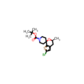 C[C@H]1Cc2cc(Br)sc2C2(CCN(C(=O)OC(C)(C)C)CC2)O1